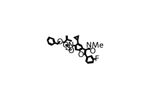 C=C(COCc1ccccc1)CN(c1cc2oc(-c3cccc(F)c3)c(C(=O)NC)c2cc1C1CC1)S(C)(=O)=O